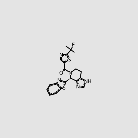 CC(C)(F)c1ncc(C(=O)N2CCc3[nH]cnc3[C@H]2c2nc3ccccc3s2)s1